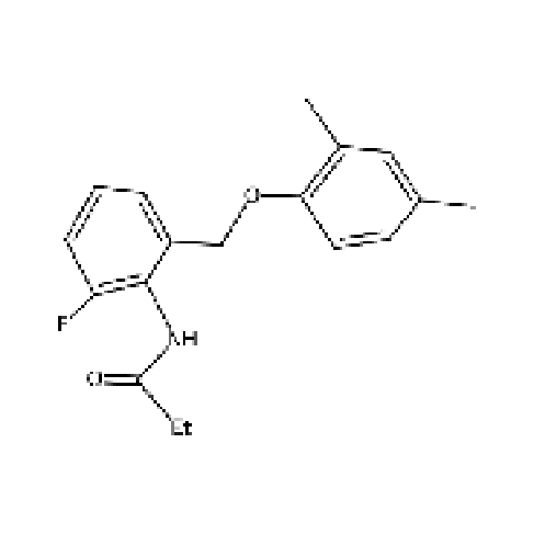 CCC(=O)Nc1c(F)cccc1COc1ccc(C)cc1C